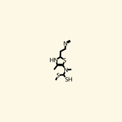 C=NCCC1NC(C)=C(N(C)C(S)SC)S1